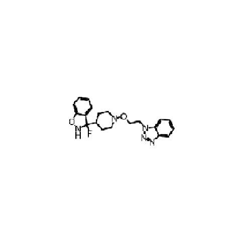 FC1(C2CCN(OCCn3nnc4ccccc43)CC2)NOc2ccccc21